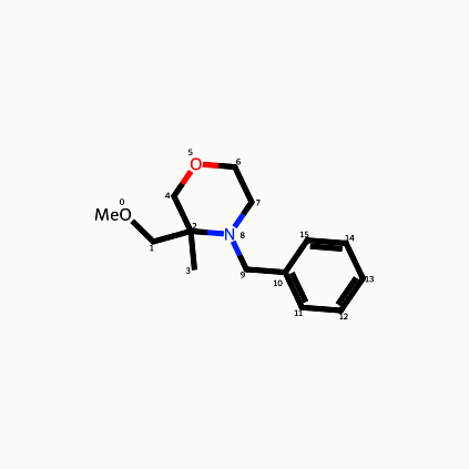 COCC1(C)COCCN1Cc1ccccc1